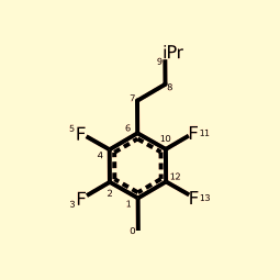 Cc1c(F)c(F)c(CCC(C)C)c(F)c1F